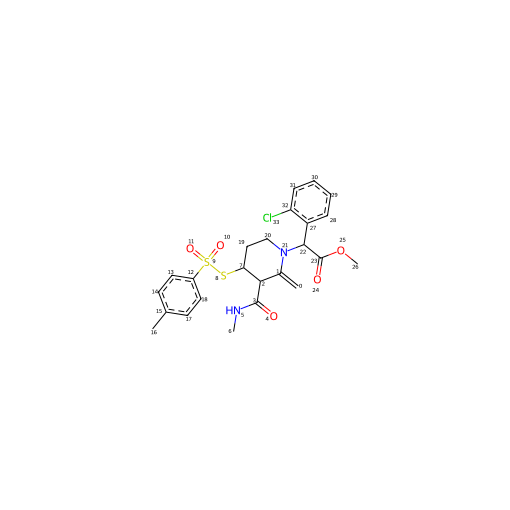 C=C1C(C(=O)NC)C(SS(=O)(=O)c2ccc(C)cc2)CCN1C(C(=O)OC)c1ccccc1Cl